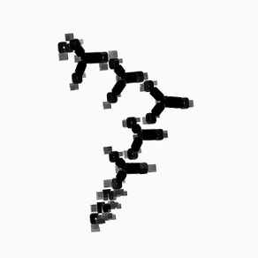 O=S([O-])[O-].O=S([O-])[O-].O=S([O-])[O-].O=S([O-])[O-].O=S([O-])[O-].[Cu+2].[Cu+2].[Fe+3].[Fe+3]